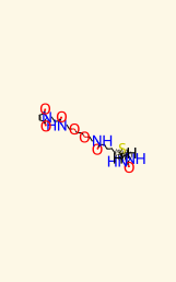 O=C(CCCC[C@@H]1SC[C@@H]2NC(=O)N[C@@H]21)NCCOCCOCCNC(=O)CCN1C(=O)C=CC1=O